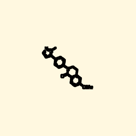 COc1ccc2c(c1)CCN(c1ccc(-c3ccnn3C)cc1)C2=O